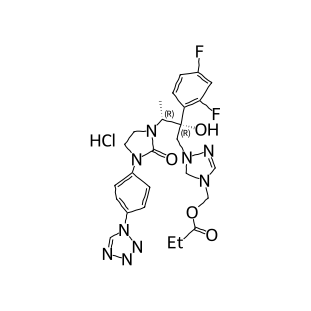 CCC(=O)OCN1C=NN(C[C@](O)(c2ccc(F)cc2F)[C@@H](C)N2CCN(c3ccc(-n4cnnn4)cc3)C2=O)C1.Cl